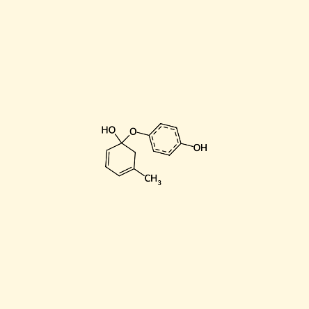 CC1=CC=CC(O)(Oc2ccc(O)cc2)C1